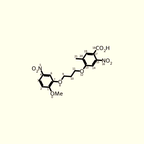 COc1ccc([N+](=O)[O-])cc1OCCCOc1cc([N+](=O)[O-])c(C(=O)O)cc1C